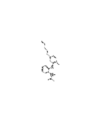 C=CCCCc1ccc(C)c(Sc2ccccc2NC(=C)C)c1